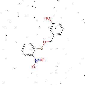 O=[N+]([O-])c1ccccc1SOCc1cccc(O)c1